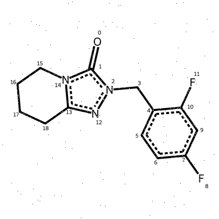 O=c1n(Cc2ccc(F)cc2F)nc2n1CCCC2